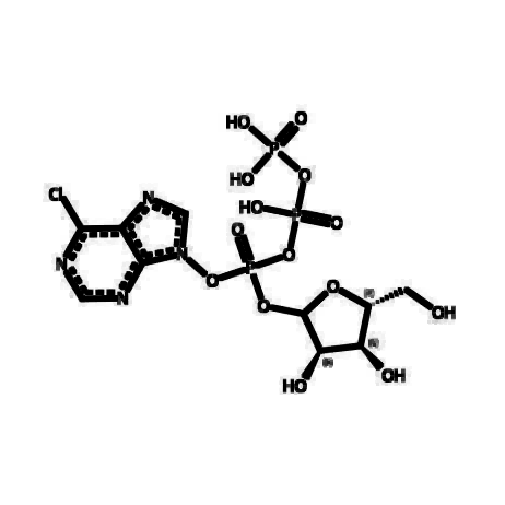 O=P(O)(O)OP(=O)(O)OP(=O)(OC1O[C@H](CO)[C@@H](O)[C@H]1O)On1cnc2c(Cl)ncnc21